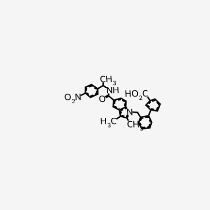 Cc1c(C)n(Cc2ccccc2-c2cccc(C(=O)O)c2)c2ccc(C(=O)NC(C)c3ccc([N+](=O)[O-])cc3)cc12